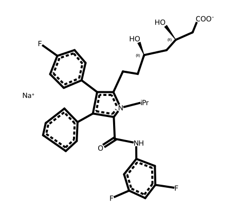 CC(C)n1c(CC[C@@H](O)C[C@@H](O)CC(=O)[O-])c(-c2ccc(F)cc2)c(-c2ccccc2)c1C(=O)Nc1cc(F)cc(F)c1.[Na+]